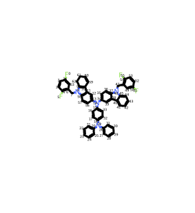 Fc1ccc(F)c(Cn2c3c(c4cc(N(c5ccc(N(c6ccccc6)c6ccccc6)cc5)c5ccc6c(c5)c5ccccc5n6Cc5cc(F)ccc5F)ccc42)C=CCC3)c1